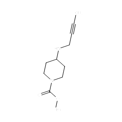 CC#CCNC1CCN(C(=O)OC(C)(C)C)CC1